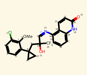 COc1c(Cl)cccc1C1(CC(O)(/C=N\c2cccc3[nH]c(=O)ccc23)C(F)(F)F)CC1